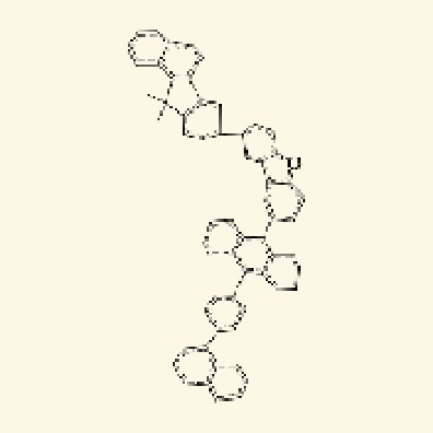 CC1(C)c2ccc(-c3ccc4oc5ccc(-c6c7ccccc7c(-c7ccc(-c8cccc9ccccc89)cc7)c7ccccc67)cc5c4c3)cc2-c2ccc3ccccc3c21